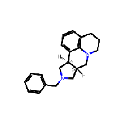 c1ccc(CN2C[C@H]3CN4CCCc5cccc(c54)[C@@H]3C2)cc1